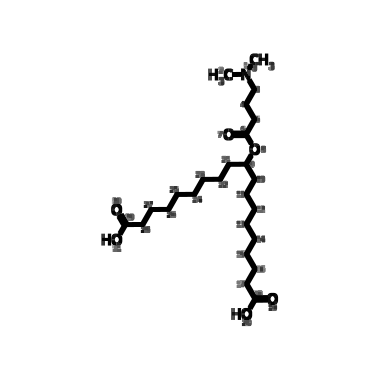 CN(C)CCCC(=O)OC(CCCCCCCCC(=O)O)CCCCCCCCC(=O)O